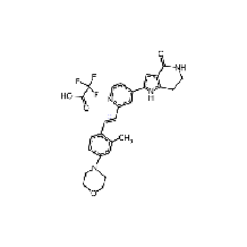 Cc1cc(N2CCOCC2)ccc1/C=C/c1cc(-c2cc3c([nH]2)CCNC3=O)ccn1.O=C(O)C(F)(F)F